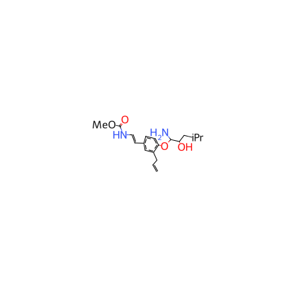 C=CCc1cc(C=CNC(=O)OC)ccc1OC(N)C(O)CC(C)C